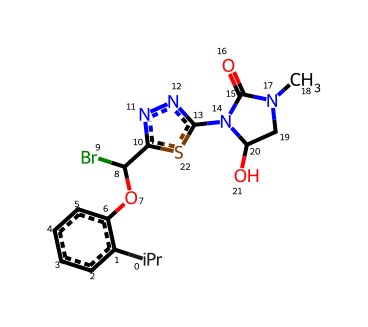 CC(C)c1ccccc1OC(Br)c1nnc(N2C(=O)N(C)CC2O)s1